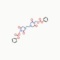 O=C(OCN1C(=O)CN(CCN2CC(=O)N(COC(=O)Oc3ccccc3)C(=O)C2)CC1=O)Oc1ccccc1